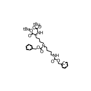 CC(C)(C)OC(=O)N[C@@H](CCCCN(CCCCNC(=O)OCc1ccccc1)C(=O)OCc1ccccc1)C(=O)OC(C)(C)C